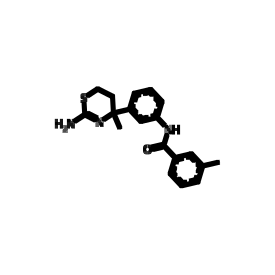 Cc1cccc(C(=O)Nc2cccc(C3(C)CCSC(N)=N3)c2)c1